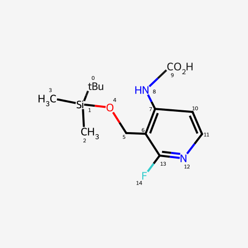 CC(C)(C)[Si](C)(C)OCc1c(NC(=O)O)ccnc1F